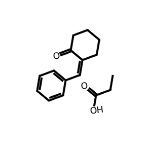 CCC(=O)O.O=C1CCCCC1=Cc1ccccc1